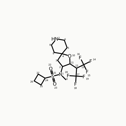 CN(C1CC2(CCNCC2)OC1C(C(F)(F)F)C(F)(F)F)S(=O)(=O)C1CCC1